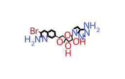 Nc1nc2cc([C@H]3C[C@@]4(CO3)O[C@@H](n3ccc5c(N)ncnc53)[C@H](O)[C@@H]4O)ccc2cc1Br